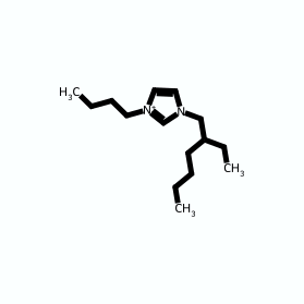 CCCCC(CC)Cn1cc[n+](CCCC)c1